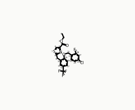 CCOC(=O)c1csc(Cc2cc(C(F)(F)F)ccc2OCc2ccc(Cl)cc2F)n1